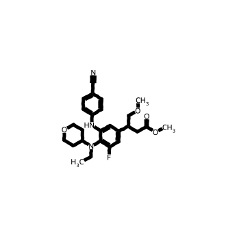 CCN(c1c(F)cc(C(COC)CC(=O)OC)cc1Nc1ccc(C#N)cc1)C1CCOCC1